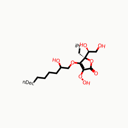 CCCCCCCCCCCCCCC(O)COC1=C(OO)C(=O)O[C@]1(CC(C)C)[C@@H](O)CO